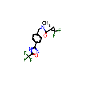 CN(Cc1ccc(-c2noc(C(F)(F)F)n2)cc1)C(=O)C1CC1(F)F